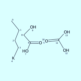 CCC[CH2][K].O=C(O)CO.O=C(O)O